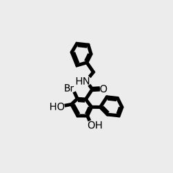 O=C(NCc1ccccc1)c1c(Br)c(O)cc(O)c1-c1ccccc1